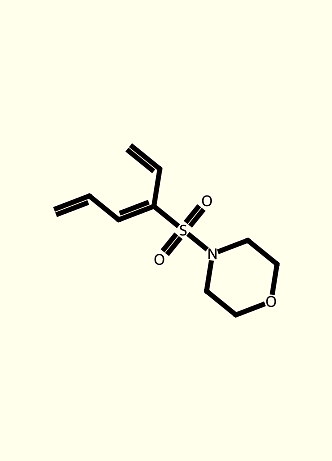 C=C/C=C(\C=C)S(=O)(=O)N1CCOCC1